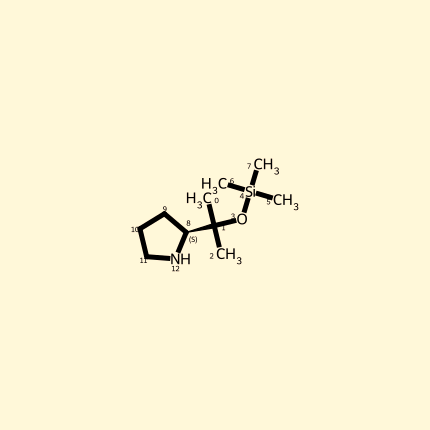 CC(C)(O[Si](C)(C)C)[C@@H]1CCCN1